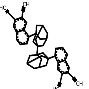 C#Cc1cc2cccc(C34CC5CC(C3)CC(C36CC7CC(CC(c8cccc9cc(C#C)c(C#C)cc89)(C7)C3)C6)(C5)C4)c2cc1C#C